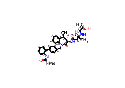 CNC(=O)Nc1ccccc1-c1ccc(CN2C(=O)C(NC(=O)CC(C)(C)NCC(C)O)CC(C)c3ccccc32)cc1